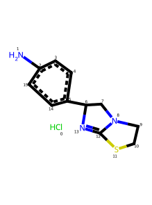 Cl.Nc1ccc(C2CN3CCSC3=N2)cc1